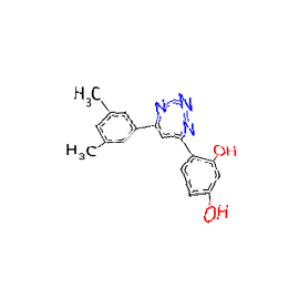 Cc1cc(C)cc(-c2cc(-c3ccc(O)cc3O)nnn2)c1